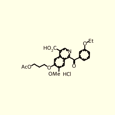 CCOc1cccc(C(=O)c2ncc(C(=O)O)c3cc(OCCCOC(C)=O)c(OC)cc23)c1.Cl